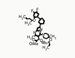 C=CCOC1(C)CCN(c2c([C@H](OC(C)(C)C)C(=O)OC)c(C)nc3cc(-c4cccc(-c5cc(F)c(F)cc5O[C@@H](C)CC=C)c4)nn23)CC1